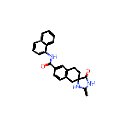 C=C1NC(=O)C2(CCc3cc(C(=O)Nc4cccc5ccccc45)ccc3C2)N1